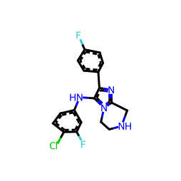 Fc1ccc(-c2nc3n(c2Nc2ccc(Cl)c(F)c2)CCNC3)cc1